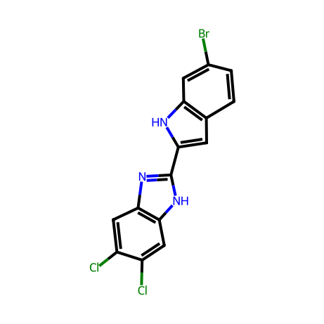 Clc1cc2nc(-c3cc4ccc(Br)cc4[nH]3)[nH]c2cc1Cl